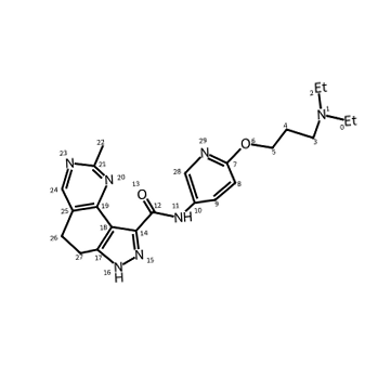 CCN(CC)CCCOc1ccc(NC(=O)c2n[nH]c3c2-c2nc(C)ncc2CC3)cn1